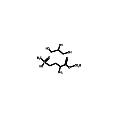 CP(=O)(O)CCC(N)C(=O)OC(=O)O.OCC(O)CO